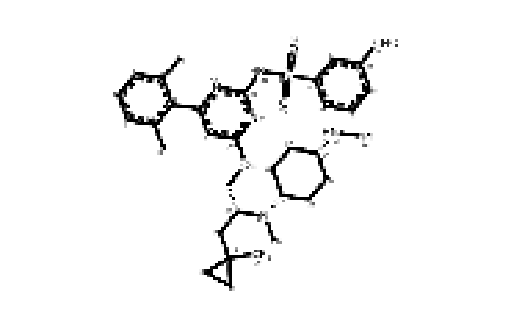 Cc1cccc(C)c1-c1cc(OC[C@@H](CC2(C(F)(F)F)CC2)N(C)[C@H]2CC[C@@H](NC(C)C)CC2)nc(NS(=O)(=O)c2cccc(C=O)c2)n1